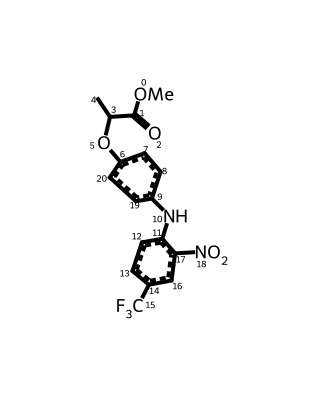 COC(=O)C(C)Oc1ccc(Nc2ccc(C(F)(F)F)cc2[N+](=O)[O-])cc1